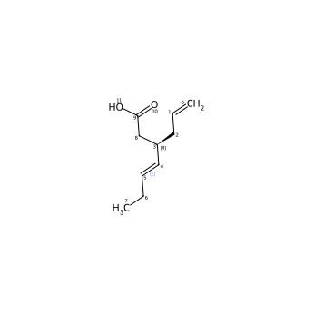 C=CC[C@@H](/C=C/CC)CC(=O)O